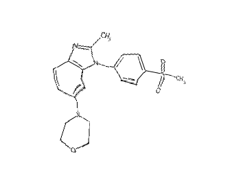 Cc1nc2ccc(N3CCOCC3)cc2n1-c1ccc(S(C)(=O)=O)cc1